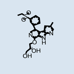 CCS(=O)(=O)c1cccc(-c2cnc(OC[C@@H](O)CO)c3[nH]c4ncc(C)cc4c23)c1